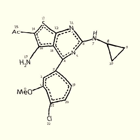 COc1cc(-c2nc(NC3CC3)nc3sc(C(C)=O)c(N)c23)ccc1Cl